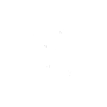 Oc1cnc2ccc(Br)c(Cl)c2n1